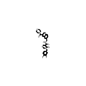 O=C(NCc1ccc2ncc(C(=O)N3CCOCC3)cc2c1)c1cncn(Cc2ccc(F)c(F)c2)c1=O